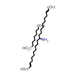 CCCCCCCCC=CCCCCCCCCC(N)CCCCCCCCC=CCCCCCCCC.CCCCCCCCCCCCCCCCCC(=O)O